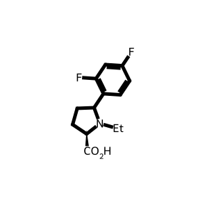 CCN1C(c2ccc(F)cc2F)CC[C@@H]1C(=O)O